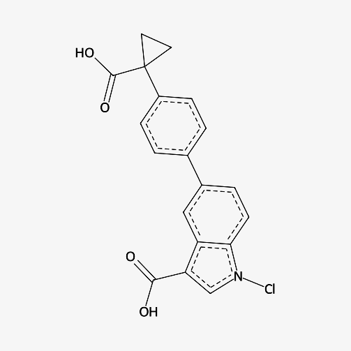 O=C(O)c1cn(Cl)c2ccc(-c3ccc(C4(C(=O)O)CC4)cc3)cc12